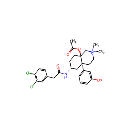 CC(=O)O[C@]12CC[C@@H](NC(=O)Cc3ccc(Cl)c(Cl)c3)C[C@]1(c1cccc(O)c1)CC[N+](C)(C)C2